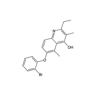 CCc1nc2ccc(Oc3ccccc3Br)c(C)c2c(O)c1C